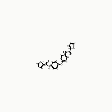 O=C(Nc1ccc(Oc2ccc(NC(=O)c3cccs3)cc2)cc1)c1cccs1